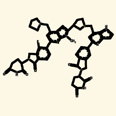 Cn1c(C2CCN(Cc3cc(-c4ccc5c(c4)CN(C4CCC(=O)NC4=O)C5=O)nc4cc[nH]c34)C2)cc2c(CN3CCCC3)cc(-c3ccc4c(c3F)CN(C3CCC(=O)NC3=O)C4=O)nc21